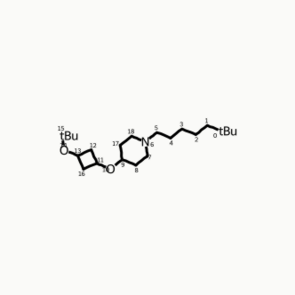 CC(C)(C)CCCCCN1CCC(OC2CC(OC(C)(C)C)C2)CC1